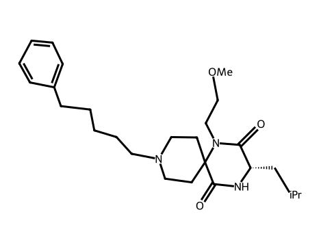 COCCN1C(=O)[C@H](CC(C)C)NC(=O)C12CCN(CCCCCc1ccccc1)CC2